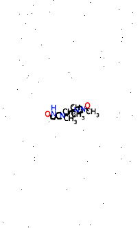 CC(=O)N1CCN(C(C)(C)CCC(C)(C)N2CCC3(CCC(=O)N3)CC2)CC1